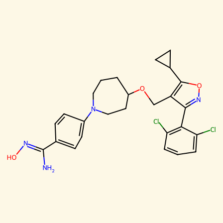 N/C(=N\O)c1ccc(N2CCCC(OCc3c(-c4c(Cl)cccc4Cl)noc3C3CC3)CC2)cc1